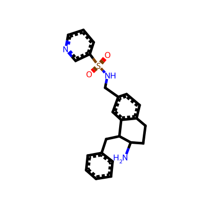 NC1CCc2ccc(CNS(=O)(=O)c3cccnc3)cc2C1Cc1ccccc1